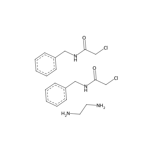 NCCN.O=C(CCl)NCc1ccccc1.O=C(CCl)NCc1ccccc1